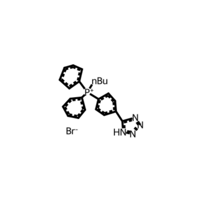 CCCC[P+](c1ccccc1)(c1ccccc1)c1ccc(-c2nnn[nH]2)cc1.[Br-]